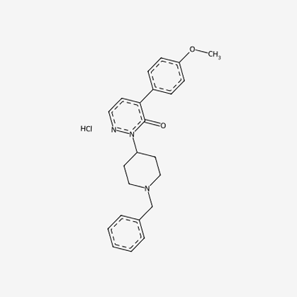 COc1ccc(-c2ccnn(C3CCN(Cc4ccccc4)CC3)c2=O)cc1.Cl